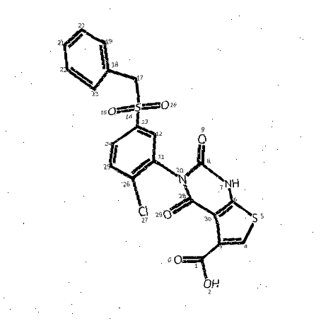 O=C(O)c1csc2[nH]c(=O)n(-c3cc(S(=O)(=O)Cc4ccccc4)ccc3Cl)c(=O)c12